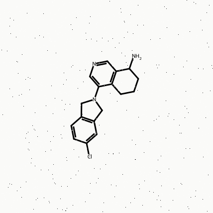 NC1CCCc2c1cncc2N1Cc2ccc(Cl)cc2C1